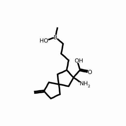 C=C1CCC2(C1)CC(CCCB(C)O)C(N)(C(=O)O)C2